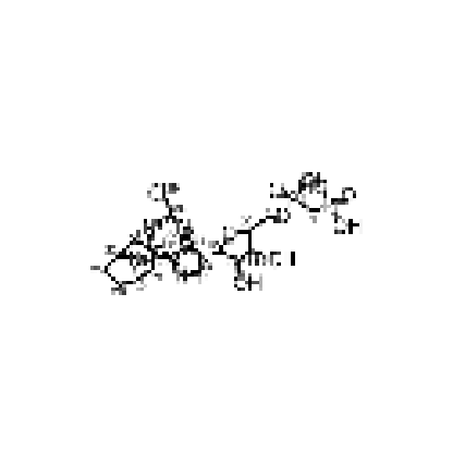 O=P(O)(O)CP(=O)(O)OCC1OC(n2cnc3c(N4C5CCC4CC(O)C5)nc(Cl)nc32)C(O)C1O